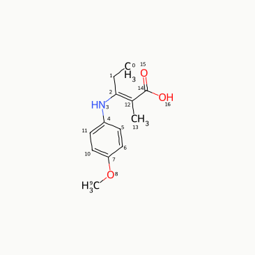 CCC(Nc1ccc(OC)cc1)=C(C)C(=O)O